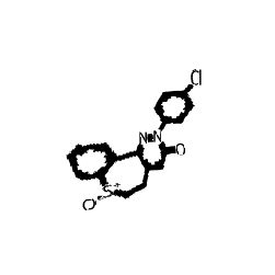 O=c1cc2c(nn1-c1ccc(Cl)cc1)-c1ccccc1[S@@+]([O-])CC2